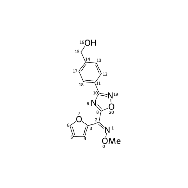 CON=C(c1ccco1)c1nc(-c2ccc(CO)cc2)no1